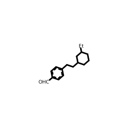 CCC1CCCC(CCc2ccc(C=O)cc2)C1